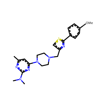 COc1ccc(-c2nc(CN3CCN(c4cc(C)nc(N(C)C)n4)CC3)cs2)cc1